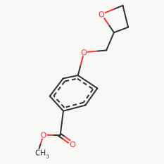 COC(=O)c1ccc(OCC2CCO2)cc1